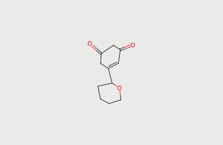 O=C1C=C(C2CCCCO2)CC(=O)C1